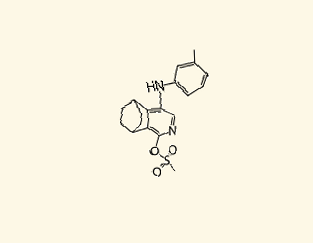 Cc1cccc(Nc2cnc(OS(C)(=O)=O)c3c2C2CCC3CC2)c1